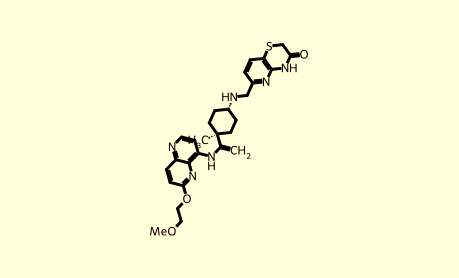 C=C(Nc1ccnc2ccc(OCCOC)nc12)[C@]1(C)CC[C@@H](NCc2ccc3c(n2)NC(=O)CS3)CC1